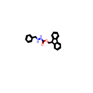 O=C(NNCc1ccccc1)OCC1c2ccccc2-c2ccccc21